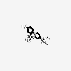 Cc1ccc(N2CCC(N(C)C)CC2)c(S(C)(=O)=O)c1